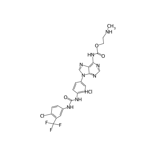 CNCCOC(=O)Nc1ncnc2c1ncn2-c1ccc(NC(=O)Nc2ccc(Cl)c(C(F)(F)F)c2)cc1.Cl